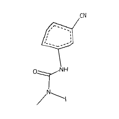 CN(I)C(=O)Nc1cccc(C#N)c1